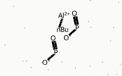 CCC[CH2][Al+2].O=P[O-].O=P[O-]